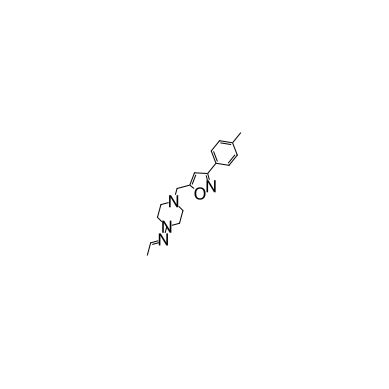 C/C=N/N1CCN(Cc2cc(-c3ccc(C)cc3)no2)CC1